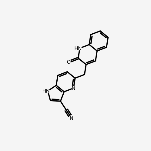 N#Cc1c[nH]c2ccc(Cc3cc4ccccc4[nH]c3=O)nc12